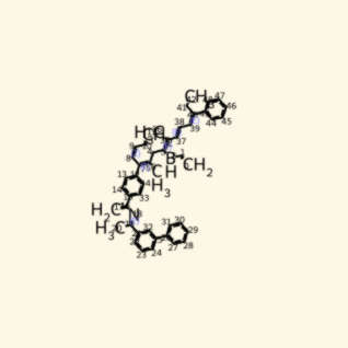 C=CB\C(C/C(C)=C(\C=C/C=C)c1ccc(C(=C)/N=C(\C)c2cccc(-c3ccccc3)c2)cc1)=C(C)/C=C/C=C(\CC)c1ccccc1